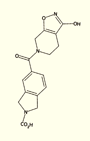 O=C(O)N1Cc2ccc(C(=O)N3CCc4c(O)noc4C3)cc2C1